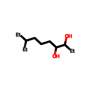 CCC(CC)CCCC(O)C(O)CC